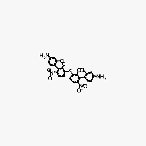 Nc1ccc(-c2c([N+](=O)[O-])ccc(Sc3ccc([N+](=O)[O-])c(-c4ccc(N)cc4Cl)c3Cl)c2Cl)c(Cl)c1